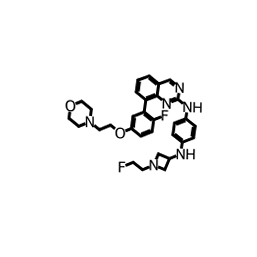 FCCN1CC(Nc2ccc(Nc3ncc4cccc(-c5cc(OCCN6CCOCC6)ccc5F)c4n3)cc2)C1